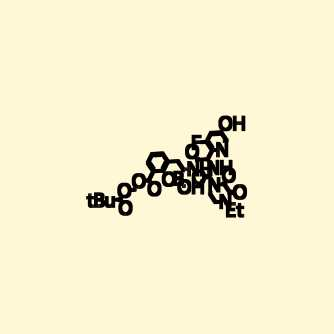 CCN1CCN(C(=O)NC(C(=O)N[C@H]2Cc3cccc(C(=O)OCOC(=O)C(C)(C)C)c3OB2O)c2ncc(O)cc2F)C(=O)C1=O